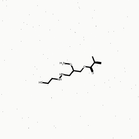 C=C(C)C(=O)OCC(CNNCCS)ON